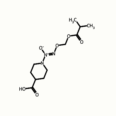 CC(C)C(=O)OCON=[N+]([O-])N1CCC(C(=O)O)CC1